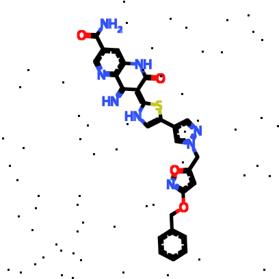 N=C1/C(=C2\NC=C(c3cnn(Cc4cc(OCc5ccccc5)no4)c3)S2)C(=O)Nc2cc(C(N)=O)cnc21